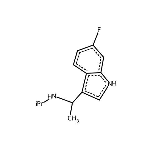 CC(C)NC(C)c1c[nH]c2cc(F)ccc12